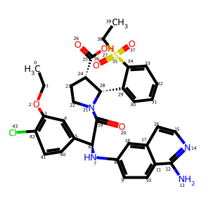 CCOc1cc([C@H](Nc2ccc3c(N)nccc3c2)C(=O)N2CC[C@H](C(=O)O)[C@@H]2c2ccccc2S(=O)(=O)CC)ccc1Cl